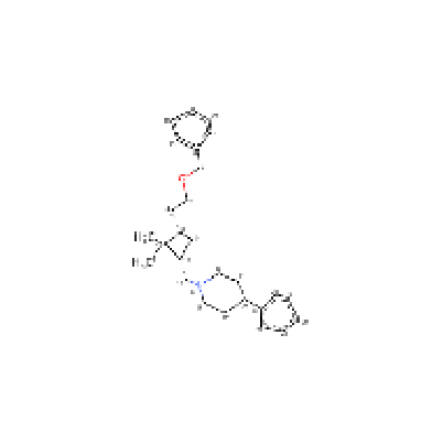 CC1(C)[C@H](CCOCc2ccccc2)C[C@@H]1CN1CCC(c2ccccc2)CC1